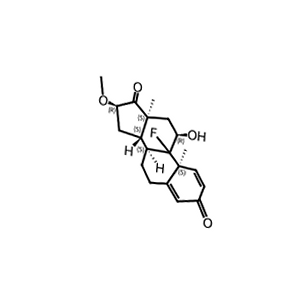 CO[C@@H]1C[C@H]2[C@@H]3CCC4=CC(=O)C=C[C@]4(C)C3(F)[C@H](O)C[C@]2(C)C1=O